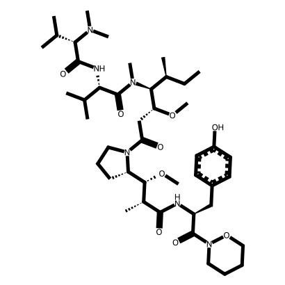 CC[C@H](C)[C@@H]([C@@H](CC(=O)N1CCC[C@H]1[C@H](OC)[C@@H](C)C(=O)N[C@@H](Cc1ccc(O)cc1)C(=O)N1CCCCO1)OC)N(C)C(=O)[C@@H](NC(=O)[C@H](C(C)C)N(C)C)C(C)C